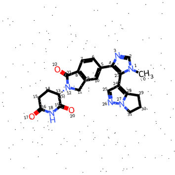 Cn1cnc(-c2ccc3c(c2)CN([C@H]2CCC(=O)NC2=O)C3=O)c1-c1cnn2c1CCC2